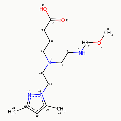 COBNCCN(CCCC(=O)O)CCn1nc(C)cc1C